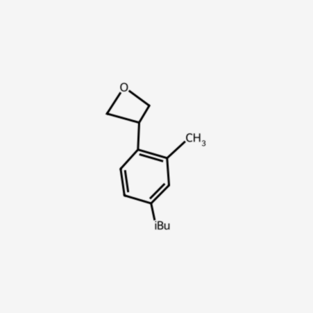 CCC(C)c1ccc(C2COC2)c(C)c1